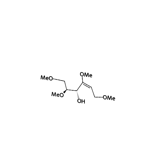 COCC=C(OC)[C@H](O)[C@H](COC)OC